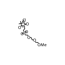 COCCOCCOCCS(=O)(=O)CCN1C(=O)N(Cl)C(C)(C)C1=O